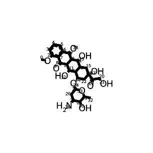 COc1cccc2c1C(=O)C1C(O)C3C(C[C@@](O)(C(=O)CO)C[C@@H]3OC3CC(N)C(O)C(C)O3)C(O)C1C2=O